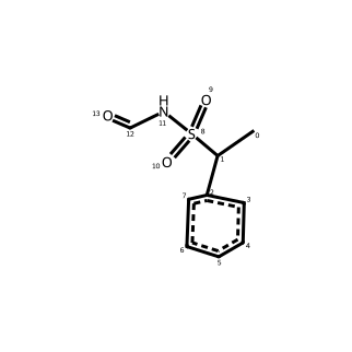 CC(c1ccccc1)S(=O)(=O)NC=O